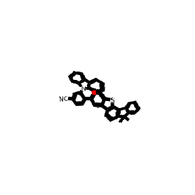 CC1(C)c2ccccc2-c2c1ccc1c2sc2ccc(-c3ccc(C#N)cc3-n3c4ccccc4c4ccccc43)cc21